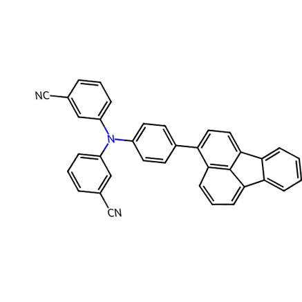 N#Cc1cccc(N(c2ccc(-c3ccc4c5c(cccc35)-c3ccccc3-4)cc2)c2cccc(C#N)c2)c1